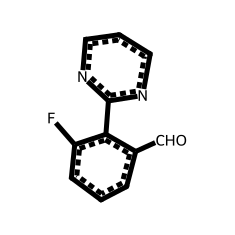 O=Cc1cccc(F)c1-c1ncccn1